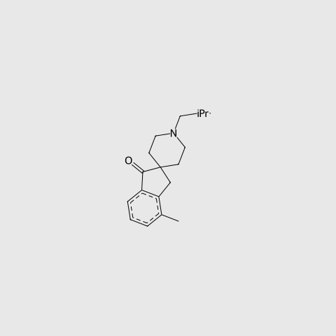 C[C](C)CN1CCC2(CC1)Cc1c(C)cccc1C2=O